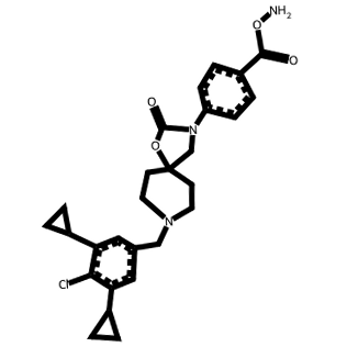 NOC(=O)c1ccc(N2CC3(CCN(Cc4cc(C5CC5)c(Cl)c(C5CC5)c4)CC3)OC2=O)cc1